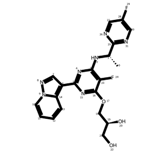 C[C@H](Nc1nc(-c2cnn3ccccc23)nc(OC[C@@H](O)CO)c1F)c1ncc(F)cn1